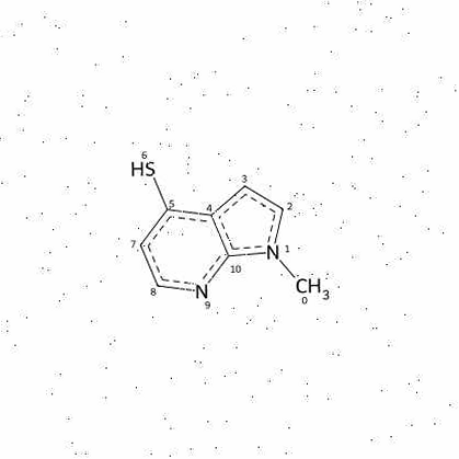 Cn1ccc2c(S)ccnc21